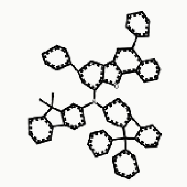 CC1(C)c2ccccc2-c2ccc(N(c3ccc4c(c3)C(c3ccccc3)(c3ccccc3)c3ccccc3-4)c3cc(-c4ccccc4)cc4c3oc3c5ccccc5c(-c5ccccc5)cc43)cc21